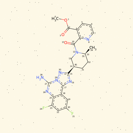 COC(=O)c1cccnc1C(=O)N1C[C@H](c2nc3c4cc(F)cc(F)c4nc(N)n3n2)CC[C@@H]1C